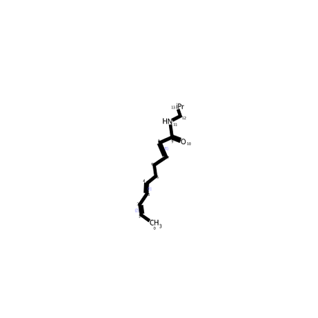 C/C=C\C=C\CC/C=C/C(=O)NCC(C)C